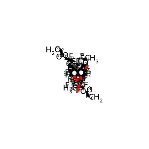 C=CC(=O)OCC(F)(OC(F)(F)C1(F)C(F)(F)C(F)(F)C(F)(C(F)(F)OC(F)(COC(=O)C=C)C(F)(F)F)C2(F)C(F)(C(F)(F)OC(C)(F)C(F)(F)F)C(F)(F)C(F)(F)C(F)(C(F)(F)OC(C)(F)C(F)(F)F)C12F)C(F)(F)F